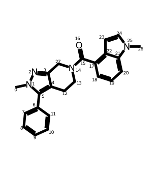 Cn1nc2c(c1-c1ccccc1)CCN(C(=O)c1cccc3c1ccn3C)C2